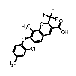 Cc1ccc(Oc2ccc3c(c2C)OC(C(F)(F)F)C(C(=O)O)=C3)c(Cl)c1